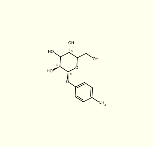 Nc1ccc(O[C@@H]2OC(CO)[C@@H](O)C(O)[C@@H]2O)cc1